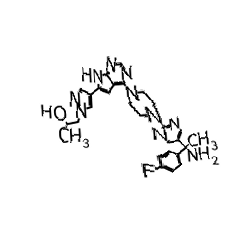 C[C@H](O)Cn1cc(-c2cc3c(N4CCN(c5ncc(C(C)(N)c6ccc(F)cc6)cn5)CC4)ncnc3[nH]2)cn1